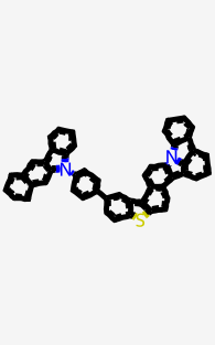 c1ccc2cc3c(cc2c1)c1ccccc1n3-c1ccc(-c2ccc3sc4ccc5c(ccc6c5c5cccc7c8ccccc8n6c75)c4c3c2)cc1